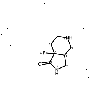 O=C1NCC2CNCCC12F